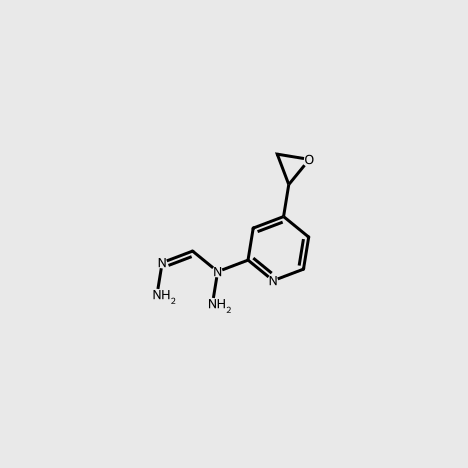 N/N=C\N(N)c1cc(C2CO2)ccn1